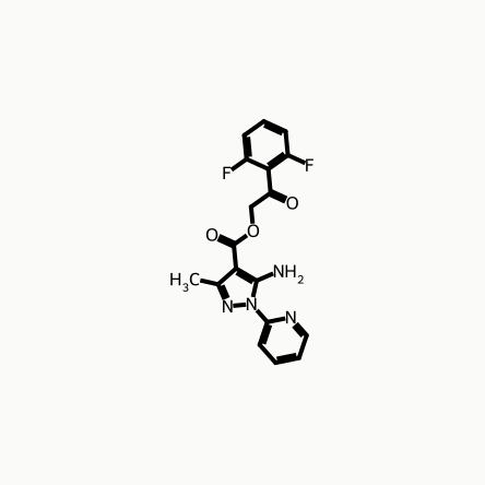 Cc1nn(-c2ccccn2)c(N)c1C(=O)OCC(=O)c1c(F)cccc1F